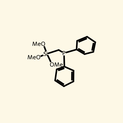 CO[Si](CP(c1ccccc1)c1ccccc1)(OC)OC